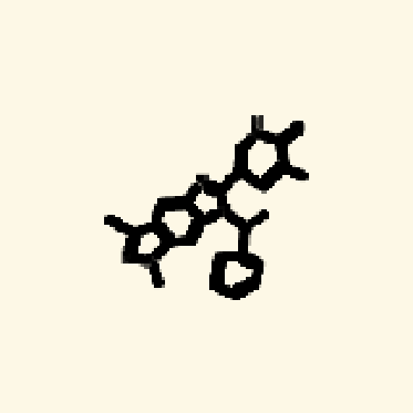 Cc1cc(-c2nc3cc4c(C)nn(C)c4cc3n2[C@@H](C)c2ccccc2)c[nH]c1=O